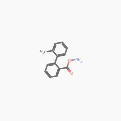 Cc1ccccc1-c1ccccc1C(=O)ON